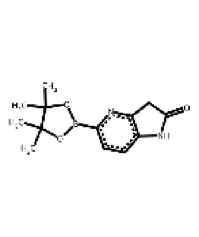 CC1(C)OB(c2ccc3c(n2)CC(=O)N3)OC1(C)C